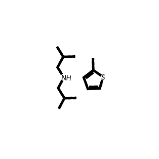 CC(C)CNCC(C)C.Cc1cccs1